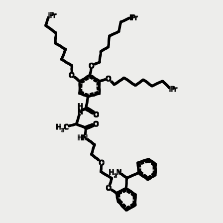 CC(C)CCCCCCOc1cc(C(=O)NC(C)C(=O)NCCOCCOc2ccccc2C(N)c2ccccc2)cc(OCCCCCCC(C)C)c1OCCCCCCC(C)C